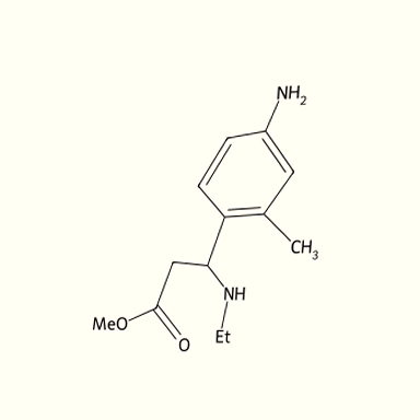 CCNC(CC(=O)OC)c1ccc(N)cc1C